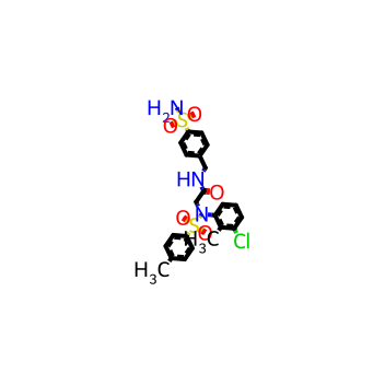 Cc1ccc(S(=O)(=O)N(CC(=O)NCc2ccc(S(N)(=O)=O)cc2)c2cccc(Cl)c2C)cc1